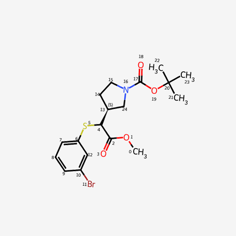 COC(=O)C(Sc1cccc(Br)c1)[C@H]1CCN(C(=O)OC(C)(C)C)C1